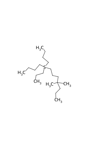 CCCCS(CCC)(CCCC)CCCC(C)(C)CCC